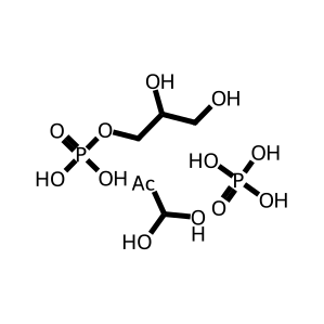 CC(=O)C(O)O.O=P(O)(O)O.O=P(O)(O)OCC(O)CO